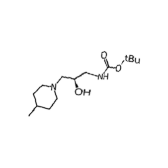 CC1CCN(C[C@H](O)CNC(=O)OC(C)(C)C)CC1